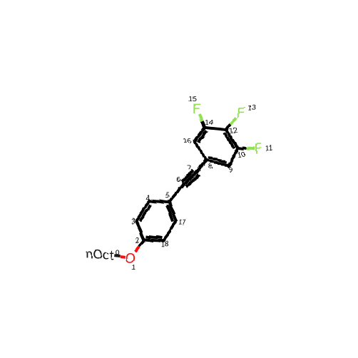 CCCCCCCCOc1ccc(C#Cc2cc(F)c(F)c(F)c2)cc1